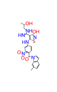 Cc1ccc2ccn(C(=O)c3ccc(Nc4snc(O)c4C(=N)NCC(C)O)cc3[N+](=O)[O-])c2c1